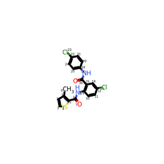 Cc1ccsc1C(=O)Nc1ccc(Cl)cc1C(=O)Nc1ccc(Cl)cc1